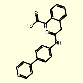 O=C(O)Nc1ccccc1CC(=O)Nc1ccc(-c2ccncc2)cc1